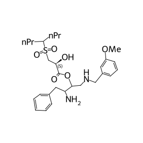 CCCC(CCC)S(=O)(=O)C[C@@H](O)C(=O)OC(CNCc1cccc(OC)c1)C(N)Cc1ccccc1